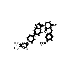 COc1ccc(CN2C(=O)CCN(c3cnc4cc(C5CCN(C(=O)OC(C)(C)C)CC5)ccn34)C2=O)cc1